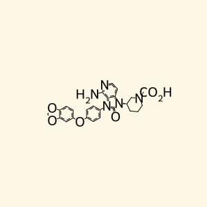 Nc1nccc2c1n(-c1ccc(Oc3ccc4c(c3)OCO4)cc1)c(=O)n2[C@@H]1CCCN(C(=O)O)C1